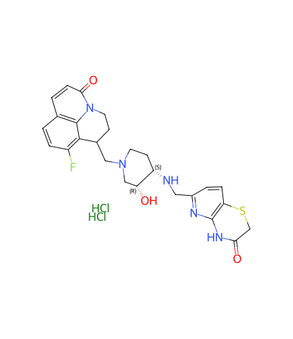 Cl.Cl.O=C1CSc2ccc(CN[C@H]3CCN(CC4CCn5c(=O)ccc6ccc(F)c4c65)C[C@H]3O)nc2N1